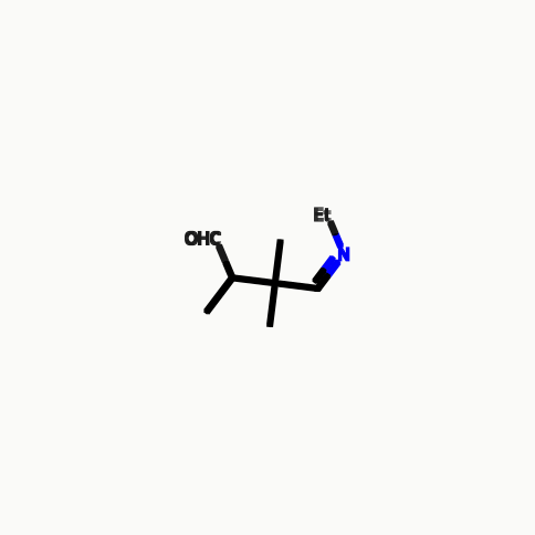 CC/N=C\C(C)(C)C(C)C=O